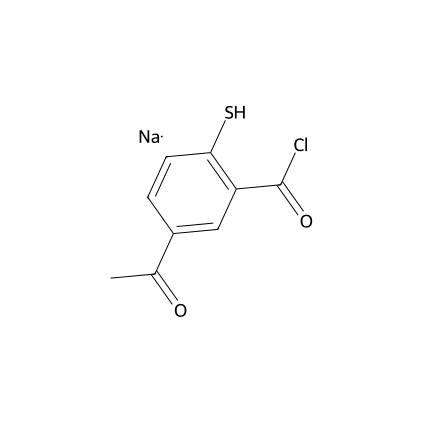 CC(=O)c1ccc(S)c(C(=O)Cl)c1.[Na]